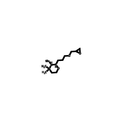 CC(C)(C)[SiH]1[SiH](CCCOCC2CO2)OCC[Si]1(C)C